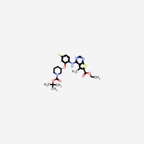 CCOC(=O)c1sc2ncnc(Nc3ccc(F)cc3O[C@H]3CCCN(C(=O)OC(C)(C)C)C3)c2c1C